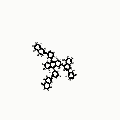 CC1CC=Cc2cc(-c3cccc(-c4c5ccccc5c(-c5cccc(-c6ccc7ccccc7c6)c5)c5ccc(-c6cc7c8ccccc8oc7c7ccccc67)cc45)c3)ccc21